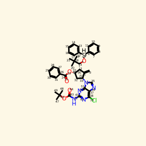 C=C1[C@@H](C(O[SiH](c2ccccc2)c2ccccc2)C(C)(C)C)[C@@H](OC(=O)c2ccccc2)C[C@@H]1n1cnc2c(Cl)nc(NC(=O)OC(C)(C)C)nc21